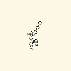 C=CNC(CC1=CC=C(c2ccc(-c3ccccc3)cc2)CC1)C1C=CC=C(Nc2ccc3ccccc3c2-c2cccc3ccccc23)C1